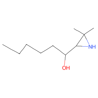 CCCCCC(O)C1NC1(C)C